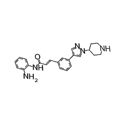 Nc1ccccc1NC(=O)C=Cc1cccc(-c2cnn(C3CCNCC3)c2)c1